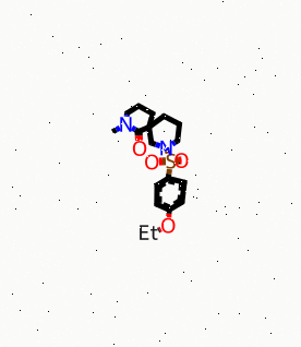 CCOc1ccc(S(=O)(=O)N2CCCC3(CCCN(C)C3=O)C2)cc1